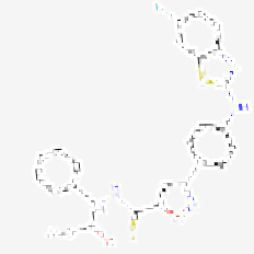 COC(=O)[C@@H](NC(=S)c1cc(-c2ccc(Nc3nc4ccc(F)cc4s3)cc2)no1)c1ccccc1